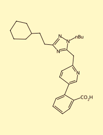 CCCCn1nc(CCC2CCCCC2)nc1Cc1ccc(-c2ccccc2C(=O)O)cn1